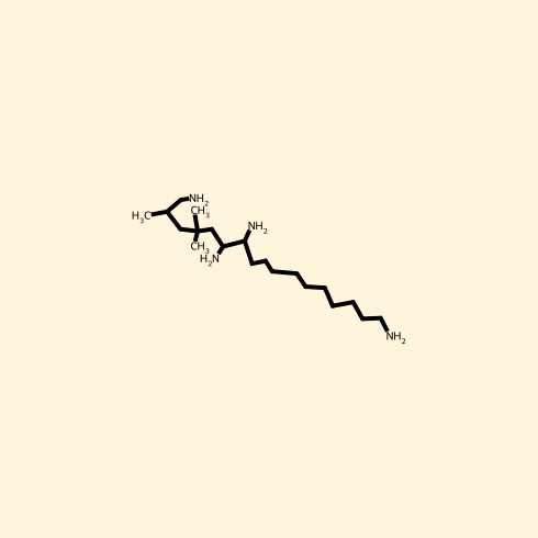 CC(CN)CC(C)(C)CC(N)C(N)CCCCCCCCCCN